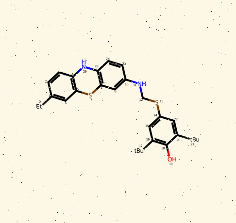 CCc1ccc2c(c1)Sc1cc(NCSc3cc(C(C)(C)C)c(O)c(C(C)(C)C)c3)ccc1N2